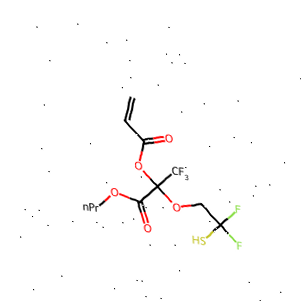 C=CC(=O)OC(OCC(F)(F)S)(C(=O)OCCC)C(F)(F)F